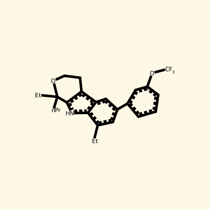 CCCC1(CC)OCCc2c1[nH]c1c(CC)cc(-c3cccc(OC(F)(F)F)c3)cc21